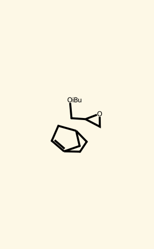 C1=C2CCC(C1)C2.CC(C)COCC1CO1